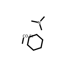 C1CCCCC1.CCOC(C)=O.CN(C)C